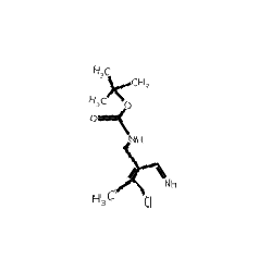 C/C(Cl)=C(/C=N)CNC(=O)OC(C)(C)C